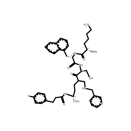 CN[C@@H](CCCCN)C(=O)N[C@@H](Cc1cccc2ccccc12)C(=O)N[C@@H](CO)C(=O)C(CC[C@H]([C]=O)NC(=O)CCc1ccc(F)cc1)CNCc1cccnc1